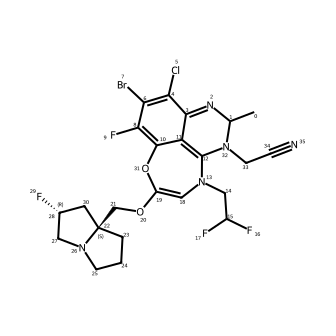 CC1N=c2c(Cl)c(Br)c(F)c3c2=C(N(CC(F)F)C=C(OC[C@@]24CCCN2C[C@H](F)C4)O3)N1CC#N